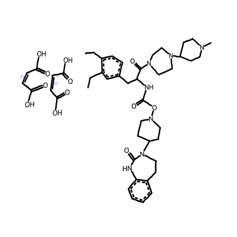 CCc1ccc(CC(NC(=O)ON2CCC(N3CCc4ccccc4NC3=O)CC2)C(=O)N2CCN(C3CCN(C)CC3)CC2)cc1CC.O=C(O)/C=C\C(=O)O.O=C(O)/C=C\C(=O)O